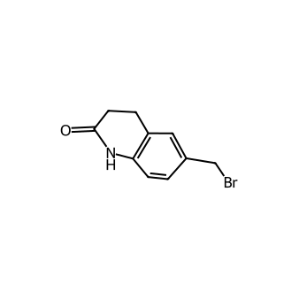 O=C1CCc2cc(CBr)ccc2N1